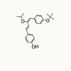 CC(C)OC(C=Cc1ccc(O)cc1)=Cc1ccc(OC(C)(C)C)cc1